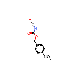 O=C=NC(=O)OCc1ccc([N+](=O)[O-])cc1